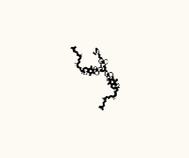 CCN(CC)CCCOC(=O)OCC(COC(=O)Oc1c(C)c(C)c2c(c1C)CC[C@@](C)(CCC[C@H](C)CCC[C@H](C)CCCC(C)C)O2)COC(=O)Oc1c(C)c(C)c2c(c1C)CC[C@@](C)(CCC[C@H](C)CCC[C@H](C)CCCC(C)C)O2